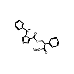 COC(=O)C(COC(=O)c1cncn1[C@H](C)c1ccccc1)c1ccccc1